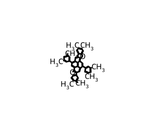 Cc1cc(C)cc(-c2cc3c4oc5cc(C)c(C)cc5c4cc4c(-c5cc(C)cc(C)c5)cc5c6oc7cc(C)c(C)cc7c6cc2c5c43)c1